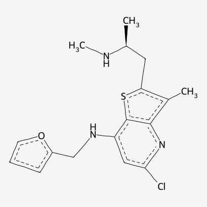 CN[C@@H](C)Cc1sc2c(NCc3ccco3)cc(Cl)nc2c1C